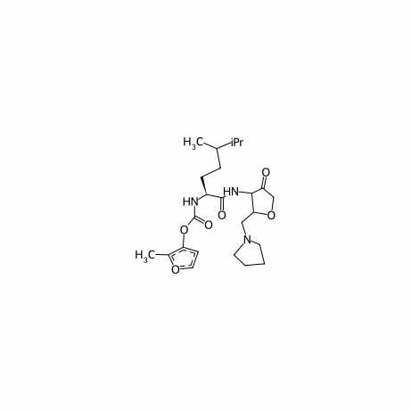 Cc1occc1OC(=O)N[C@@H](CCC(C)C(C)C)C(=O)NC1C(=O)COC1CN1CCCC1